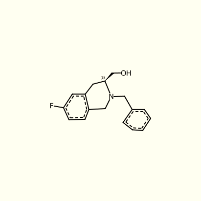 OC[C@@H]1Cc2cc(F)ccc2CN1Cc1ccccc1